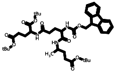 CC(CCC(=O)OC(C)(C)C)NC(=O)C(CCC(=O)NC(CCC(=O)OC(C)(C)C)C(=O)OC(C)(C)C)NC(=O)OCC1c2ccccc2-c2ccccc21